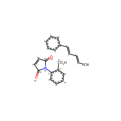 N#CC=CC=Cc1ccccc1.O=C(O)c1ccccc1N1C(=O)C=CC1=O